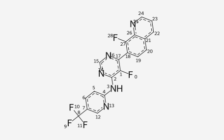 Fc1c(Nc2ccc(C(F)(F)F)cn2)ncnc1-c1ccc2cccnc2c1F